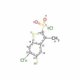 Cc1c(S(=O)(=O)Cl)sc2cc(Cl)c(F)cc12